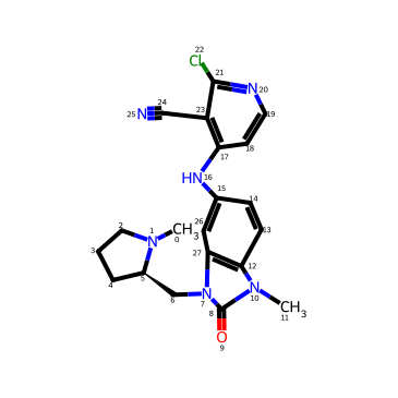 CN1CCC[C@@H]1Cn1c(=O)n(C)c2ccc(Nc3ccnc(Cl)c3C#N)cc21